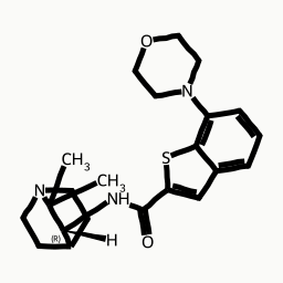 CC1(C)[C@H](NC(=O)c2cc3cccc(N4CCOCC4)c3s2)C2CCN1CC2